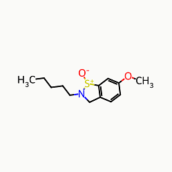 CCCCCN1Cc2ccc(OC)cc2[S+]1[O-]